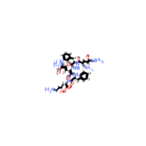 NCCCC[C@H](NC(=O)[C@H](Cc1ccccc1)NC(=O)[C@H](CCC(N)=O)NC(=O)[C@H](Cc1ccccc1)NC(=O)[C@@H](N)CCC(N)=O)C(=O)O